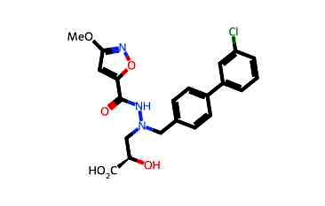 COc1cc(C(=O)NN(Cc2ccc(-c3cccc(Cl)c3)cc2)C[C@@H](O)C(=O)O)on1